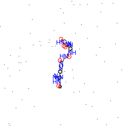 O=C(CNc1ccc2nnn(C3CCC(=O)NC3=O)c(=O)c2c1)NCCCC(=O)N1CCN(c2ccc(-c3ncc(NCc4ccco4)n4cnnc34)cc2)CC1